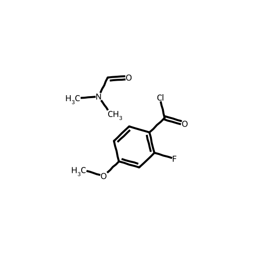 CN(C)C=O.COc1ccc(C(=O)Cl)c(F)c1